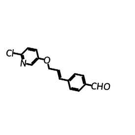 O=Cc1ccc(/C=C/COc2ccc(Cl)nc2)cc1